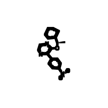 C[C@H](Oc1nccnc1-c1ccc([N+](=O)[O-])cc1)c1ccccc1